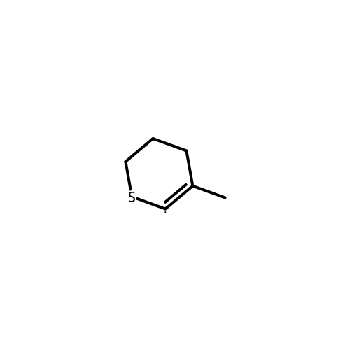 CC1=[C]SCCC1